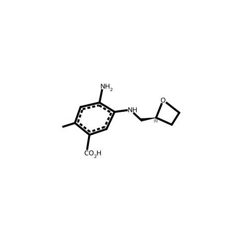 Cc1cc(N)c(NC[C@@H]2CCO2)cc1C(=O)O